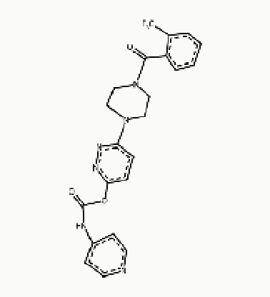 O=C(Nc1ccncc1)Oc1ccc(N2CCN(C(=O)c3ccccc3C(F)(F)F)CC2)nn1